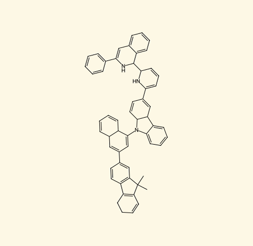 CC1(C)C2=C(CCC=C2)c2ccc(C3=CC4C=CC=CC4C(N4c5ccccc5C5C=C(C6=CC=CC(C7NC(c8ccccc8)=Cc8ccccc87)N6)C=CC54)=C3)cc21